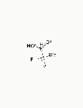 CCC(C)(CC)[PH](=O)O